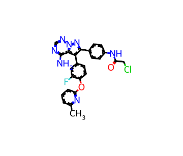 Cc1cccc(Oc2ccc(-c3c(-c4ccc(NC(=O)CCl)cc4)nn4ncnc(N)c34)cc2F)n1